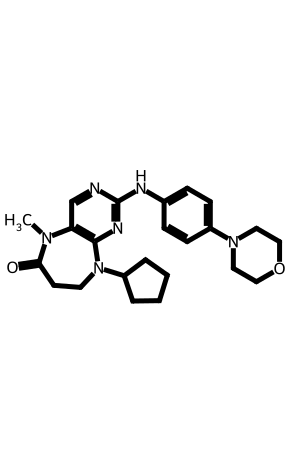 CN1C(=O)CCN(C2CCCC2)c2nc(Nc3ccc(N4CCOCC4)cc3)ncc21